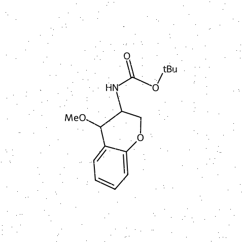 COC1c2ccccc2OCC1NC(=O)OC(C)(C)C